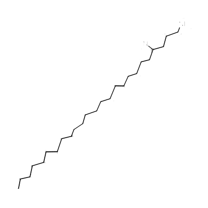 CCCCCCCCCCCCCCCCCCCCCC(N)CCCN